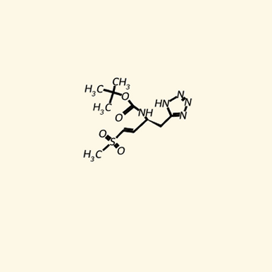 CC(C)(C)OC(=O)N[C@H](/C=C/S(C)(=O)=O)Cc1nnn[nH]1